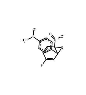 C[S+]([O-])c1ccc(C23C=C(F)C=CC2([N+](=O)[O-])S3)cc1